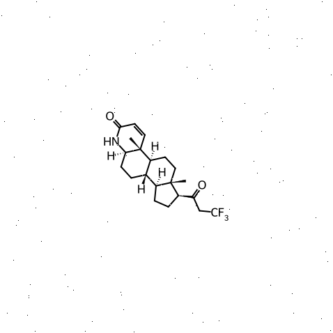 C[C@]12C=CC(=O)N[C@@H]1CC[C@@H]1[C@@H]2CC[C@]2(C)[C@@H](C(=O)CC(F)(F)F)CC[C@@H]12